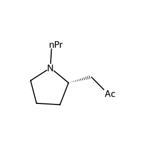 CCCN1CCC[C@H]1CC(C)=O